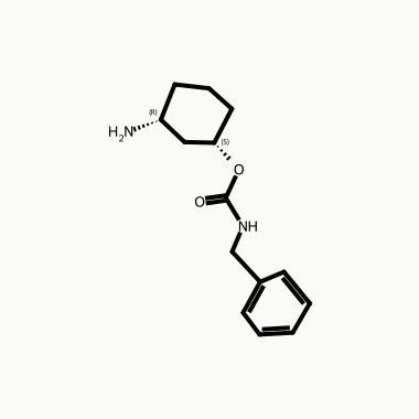 N[C@@H]1CCC[C@H](OC(=O)NCc2ccccc2)C1